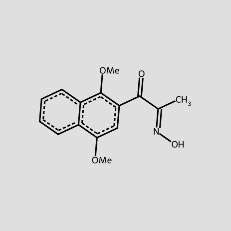 COc1cc(C(=O)C(C)=NO)c(OC)c2ccccc12